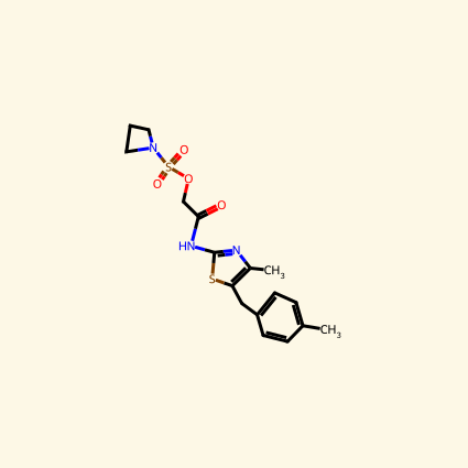 Cc1ccc(Cc2sc(NC(=O)COS(=O)(=O)N3CCC3)nc2C)cc1